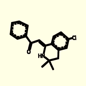 CC1(C)Cc2cc(Cl)ccc2C(=CC(=O)c2ccccc2)N1